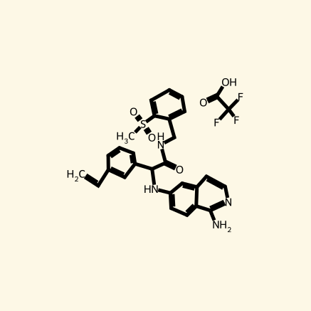 C=Cc1cccc(C(Nc2ccc3c(N)nccc3c2)C(=O)NCc2ccccc2S(C)(=O)=O)c1.O=C(O)C(F)(F)F